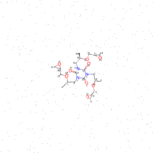 CC(Cn1c(=O)n(CC(C)OCC2CO2)c(=O)n(C[C@@H](C)OCC2CO2)c1=O)OCC1CO1